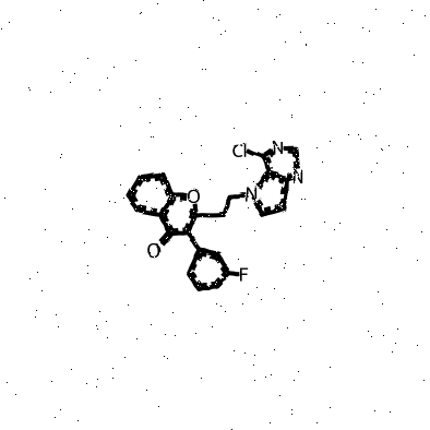 O=c1c(-c2cccc(F)c2)c(CCn2ccc3ncnc(Cl)c32)oc2ccccc12